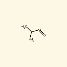 [CH2]C(N)[S+]=O